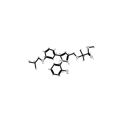 COC(=O)C(C)(C)OCc1cc(-c2cccc(OCC(C)C)c2)n(-c2ccccc2Cl)n1